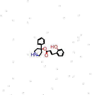 O=C(/C=C/c1ccccc1O)OC1(c2ccccc2)CCNCC1